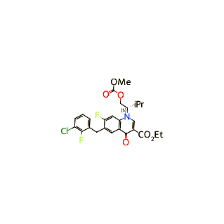 CCOC(=O)c1cn([C@H](COC(=O)OC)C(C)C)c2cc(F)c(Cc3cccc(Cl)c3F)cc2c1=O